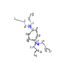 CCCN(CCC)c1ccc(N(CCC)CCC)cc1